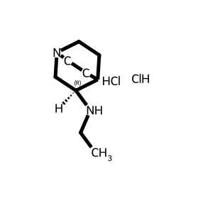 CCN[C@H]1CN2CCC1CC2.Cl.Cl